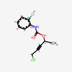 CC(C#CCCl)OC(=O)Nc1ccccc1Cl